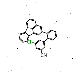 N#Cc1cc(Cl)cc(-c2ccccc2-c2cc3c4c(cccc4c2)-c2ccccc2-3)c1